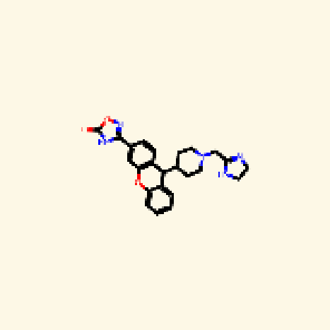 O=c1[nH]c(-c2ccc3c(c2)Oc2ccccc2C3C2CCN(CC3=NCCN3)CC2)no1